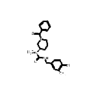 Cc1cc(CNC(=O)N(C)[C@@H]2CCCN(C(=O)c3ccccc3)C2)ccc1Cl